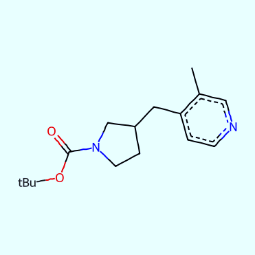 Cc1cnccc1CC1CCN(C(=O)OC(C)(C)C)C1